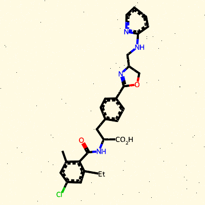 CCc1cc(Cl)cc(C)c1C(=O)NC(Cc1ccc(C2=NC(CNc3ccccn3)CO2)cc1)C(=O)O